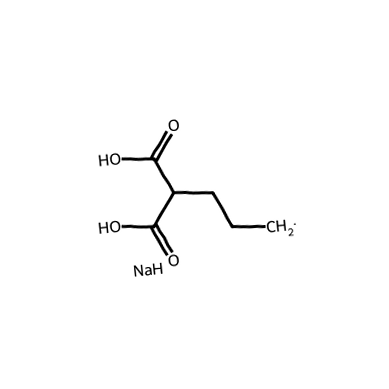 [CH2]CCC(C(=O)O)C(=O)O.[NaH]